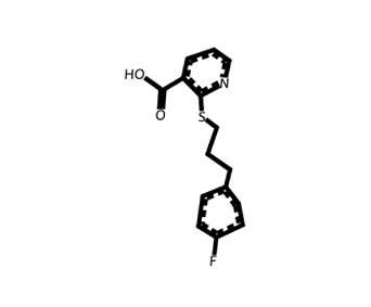 O=C(O)c1cccnc1SCCCc1ccc(F)cc1